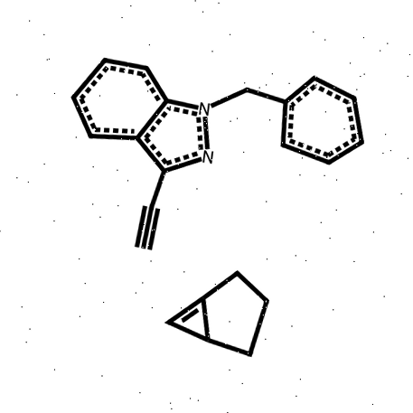 C#Cc1nn(Cc2ccccc2)c2ccccc12.C1=C2CCCC12